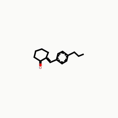 CCCc1ccc(C=C2CCCCC2=O)cc1